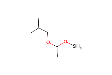 CC(C)COC(C)O[SiH3]